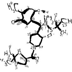 Cc1cc(O)c([C@H](N[S@@+]([O-])C(C)(C)C)C2CCN(C(=O)[C@H]3COC(C)(C)O3)CC2)cc1Cl